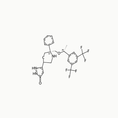 C[C@@H](OC[C@@]1(c2ccccc2)CCC(c2cc(=O)[nH][nH]2)CN1)c1cc(C(F)(F)F)cc(C(F)(F)F)c1